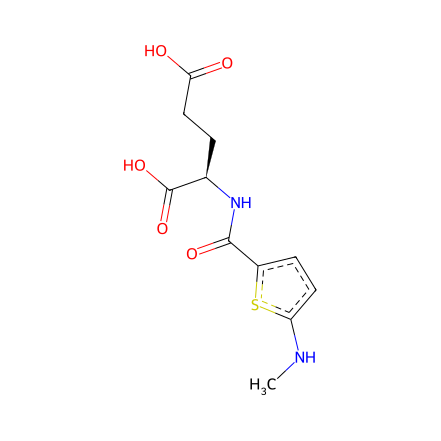 CNc1ccc(C(=O)N[C@H](CCC(=O)O)C(=O)O)s1